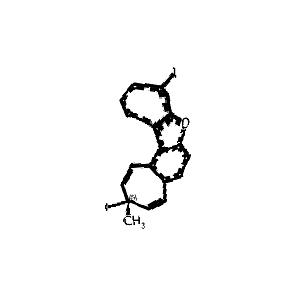 C[C@]1(I)C=Cc2ccc3oc4c(I)cccc4c3c2C=C1